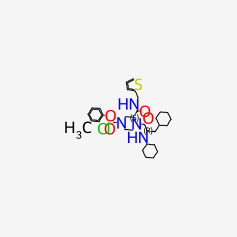 Cc1cccc(OC(=O)N2CCN(C(=O)[C@@H](CC3CCCCC3)NC3CCCCC3)[C@H](C(=O)NCc3cccs3)C2)c1Cl